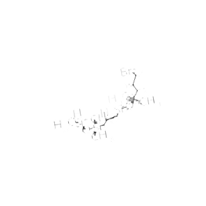 C[SiH2]O[Si](C)(C)CCC[SiH2]O[Si](C)(C)CCCBr